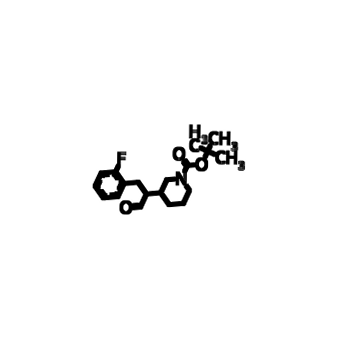 CC(C)(C)OC(=O)N1CCCC(C(C=O)Cc2ccccc2F)C1